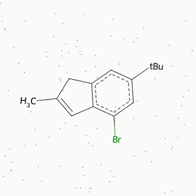 CC1=Cc2c(Br)cc(C(C)(C)C)cc2C1